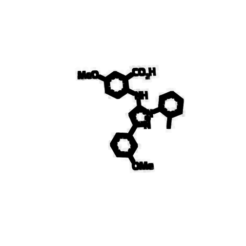 COc1cccc(-c2cc(Nc3ccc(OC)cc3C(=O)O)n(-c3ccccc3C)n2)c1